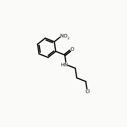 O=C(NCCCCl)c1ccccc1[N+](=O)[O-]